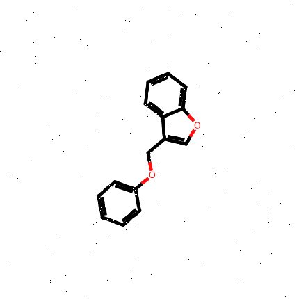 c1ccc(OCc2coc3ccccc23)cc1